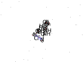 CCC(C)(C)C(=O)C[C@H]1C[C@@H](C)C=C2C=C[C@H](C)[C@H](CC[C@@H](O)C[C@@H](O)CC(=O)NCCCNC(=O)CCCCCN3/C(=C/C=C4\CCCC(/C=C/C5=[N+](CCCCS(=O)(=O)O)c6ccccc6C5(C)C)=C4Cl)C(C)(C)c4ccccc43)[C@H]21